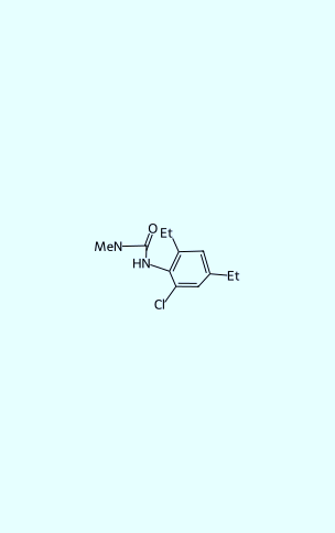 CCc1cc(Cl)c(NC(=O)NC)c(CC)c1